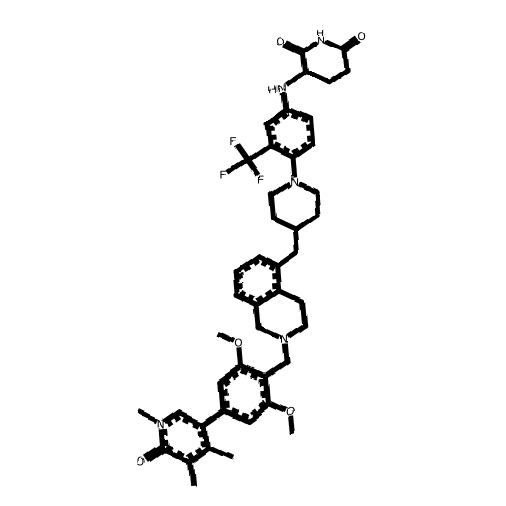 COc1cc(-c2cn(C)c(=O)c(C)c2C)cc(OC)c1CN1CCc2c(CC3CCN(c4ccc(NC5CCC(=O)NC5=O)cc4C(F)(F)F)CC3)cccc2C1